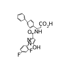 O=C(O)CC(NC(=O)c1cc(O)n(-c2ccc(F)cc2F)n1)c1ccc(-c2ccccc2)cc1